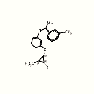 CC(OC1=CCCC(O[C@@H]2[C@H](I)[C@H]2C(=O)O)=C1)c1cccc(C(F)(F)F)c1